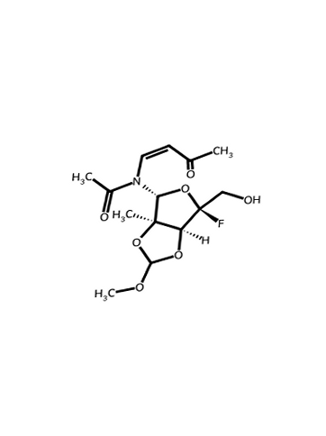 COC1O[C@H]2[C@@](C)(O1)[C@H](N(/C=C\C(C)=O)C(C)=O)O[C@]2(F)CO